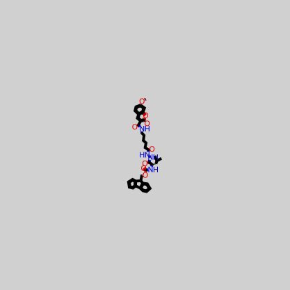 COc1ccc2cc(C(=O)NCCCCCC(=O)NNC(=O)[C@H](CC(C)C)NC(=O)OCC3c4ccccc4-c4ccccc43)c(=O)oc2c1